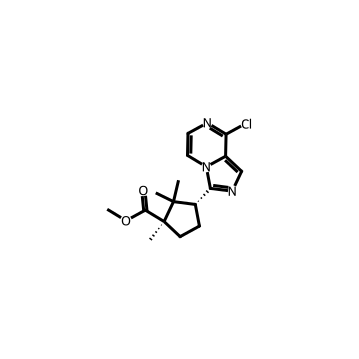 COC(=O)[C@]1(C)CC[C@@H](c2ncc3c(Cl)nccn23)C1(C)C